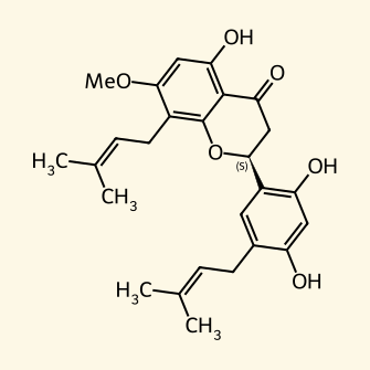 COc1cc(O)c2c(c1CC=C(C)C)O[C@H](c1cc(CC=C(C)C)c(O)cc1O)CC2=O